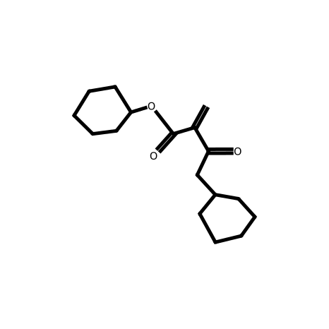 C=C(C(=O)CC1CCCCC1)C(=O)OC1CCCCC1